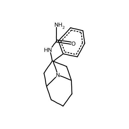 NC(=O)NC1CC2CCCC(C1)N2Cc1ccccc1